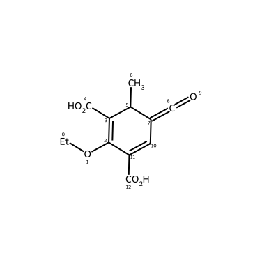 CCOC1=C(C(=O)O)C(C)C(=C=O)C=C1C(=O)O